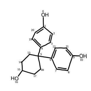 Oc1ccc(C2(c3ccc(O)cc3)CCC(O)CC2)cc1